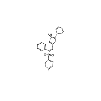 O=S(=O)(/C(=C/C1=C[SH](I)C(c2ccccc2)=C1)c1ccccc1)c1ccc(I)cc1